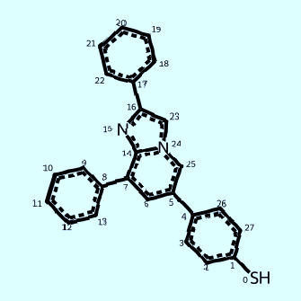 Sc1ccc(-c2cc(-c3ccccc3)c3nc(-c4ccccc4)cn3c2)cc1